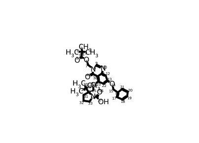 CC(C)(C)C(=O)OCn1cnc2cc(OCc3ccccc3)cc(OC[C@]3(C(C)(C)C)CCCN3C(=O)O)c2c1=O